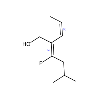 C/C=C\C(CO)=C(\F)CC(C)C